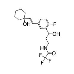 O=C(NCCC(O)c1cc(C=CC2(O)CCCCC2)ccc1F)C(F)(F)F